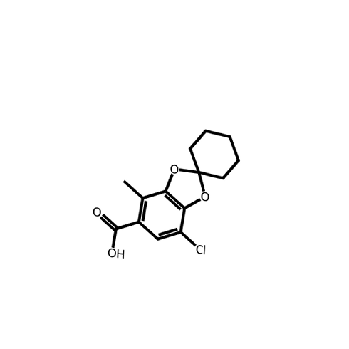 Cc1c(C(=O)O)cc(Cl)c2c1OC1(CCCCC1)O2